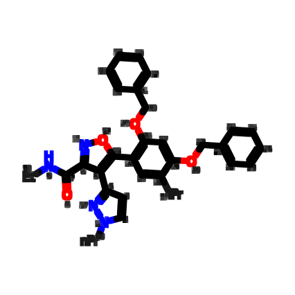 CCCn1ccc(-c2c(C(=O)NCC)noc2-c2cc(C(C)C)c(OCc3ccccc3)cc2OCc2ccccc2)n1